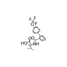 CC(C)[C@H](NC(=O)c1cscc1-c1ccc(OC(F)(F)F)cc1)C(=O)O